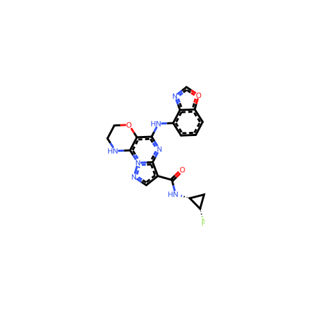 O=C(N[C@@H]1C[C@@H]1F)c1cnn2c3c(c(Nc4cccc5ocnc45)nc12)OCCN3